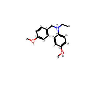 CCN(Cc1ccc(OC)cc1)c1ccc(OC)cc1